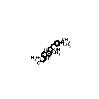 CN(C)c1ccc(C=C2C[C@H]3[C@@H]4CCC5N(C)C(=O)C=C[C@]5(C)[C@@H]4CC[C@]3(C)C2O)cc1